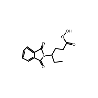 CCC(CCC(=O)OO)N1C(=O)c2ccccc2C1=O